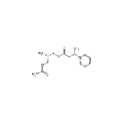 CC(=O)OCC(C)COC(=O)CC(C)c1ccccc1